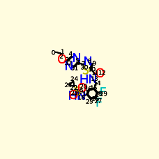 CCOc1cnc(-c2ncc(C(=O)NCc3cc(NS(=O)(=O)C4CC4)cc(F)c3F)s2)cn1